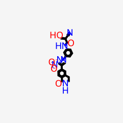 N#CC(=CO)C(=O)Nc1cccc(-n2cc(-c3ccc4c(c3)CCNC4=O)c([N+](=O)[O-])n2)c1